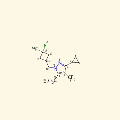 CCOC(=O)c1c(C(F)(F)F)c(C2CC2)nn1CC1CC(F)(F)C1